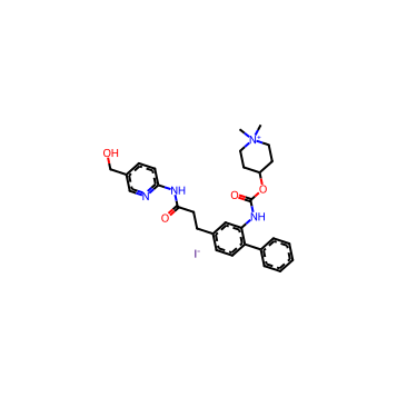 C[N+]1(C)CCC(OC(=O)Nc2cc(CCC(=O)Nc3ccc(CO)cn3)ccc2-c2ccccc2)CC1.[I-]